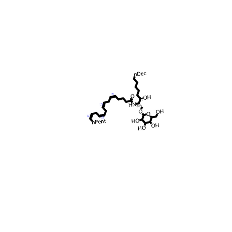 CCCCC/C=C\C/C=C\C/C=C\C/C=C\CCCC(=O)N[C@@H](COC1OC(CO)C(O)C(O)C1O)[C@H](O)CCCCCCCCCCCCCCC